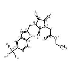 CCOC(=O)CN1C(=O)C(=O)N(Cc2nc3cc(C(F)(F)F)ccc3s2)C1=O